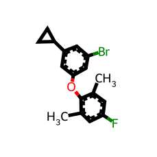 Cc1cc(F)cc(C)c1Oc1cc(Br)cc(C2CC2)c1